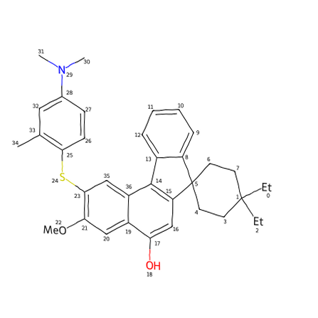 CCC1(CC)CCC2(CC1)c1ccccc1-c1c2cc(O)c2cc(OC)c(Sc3ccc(N(C)C)cc3C)cc12